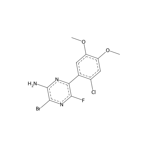 COc1cc(Cl)c(-c2nc(N)c(Br)nc2F)cc1OC